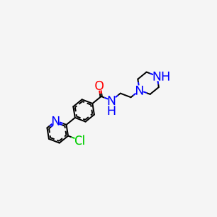 O=C(NCCN1CCNCC1)c1ccc(-c2ncccc2Cl)cc1